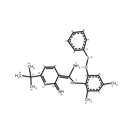 Cc1cc(C)c(N/C(N)=C2/C=CC(C(C)(C)C)=NC2=N)c(OSc2ccccc2)c1